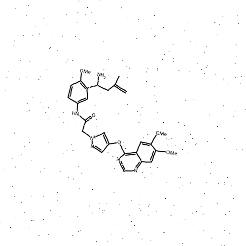 C=C(C)CC(N)c1cc(NC(=O)Cn2cc(Oc3ncnc4cc(OC)c(OC)cc34)cn2)ccc1OC